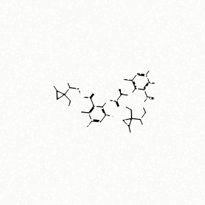 CCC1(C(C)COC(=O)c2c(Cl)c(Cl)cc(Cl)c2OC(=O)C(=O)Oc2c(Cl)cc(Cl)c(Cl)c2C(=O)OCC(C)C2(CC)CC2C)CC1C